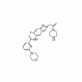 C=C(Cn1cc2cc(NC(=O)c3cccc(N4CCOCC4)n3)c(F)cc2n1)N1CCNCC1